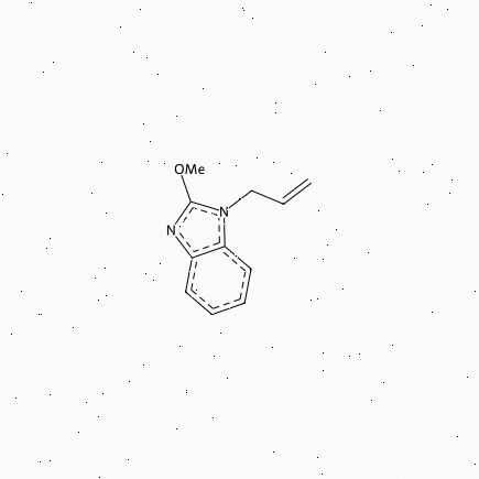 C=CCn1c(OC)nc2ccccc21